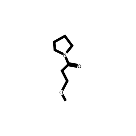 COCCC(=O)N1C[CH]CC1